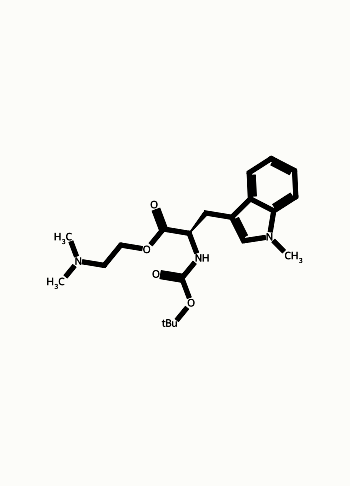 CN(C)CCOC(=O)[C@@H](Cc1cn(C)c2ccccc12)NC(=O)OC(C)(C)C